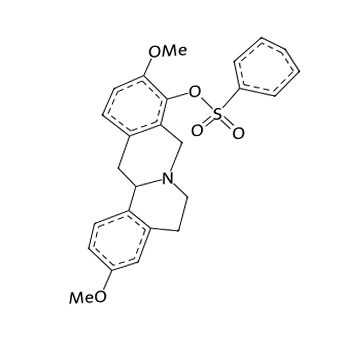 COc1ccc2c(c1)CCN1Cc3c(ccc(OC)c3OS(=O)(=O)c3ccccc3)CC21